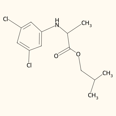 CC(C)COC(=O)C(C)Nc1cc(Cl)cc(Cl)c1